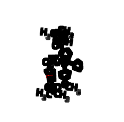 COc1ccc(-c2c(C3CCCCC3)c3ccc(C(=O)NS(=O)(=O)N(C)C)cc3n2CC2(C(=O)N3CC45CCC4(C3)CN(S(=O)(=O)C(C)C)C5)CC2)cc1